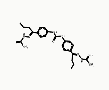 C=C(N)NN=C(CCC)c1ccc(NC(=O)Nc2ccc(C(CCC)=NNC(=N)N)cc2)cc1